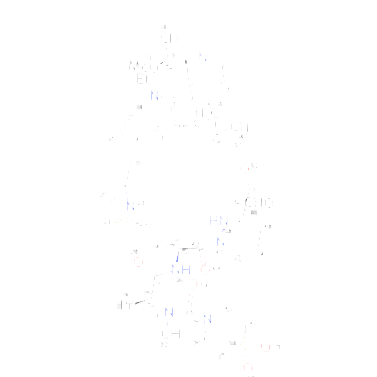 CCn1c(-c2cccnc2[C@H](C)OC)c2c3cc(ccc31)-c1csc(n1)C[C@H](NC(=O)[C@H](C(C)C)N(C)C(=O)N1CCS(=O)(=O)CC1)C(=O)N1CCC[C@](C=O)(COCC(C)(C)C2)N1